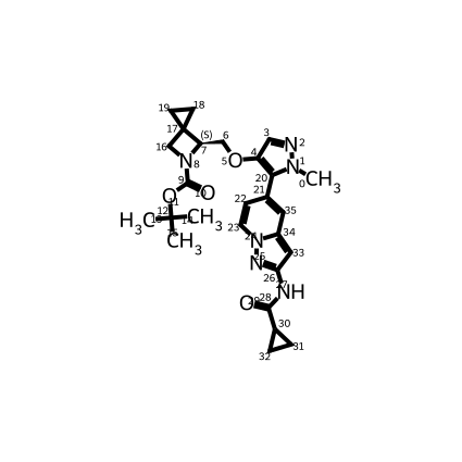 Cn1ncc(OC[C@H]2N(C(=O)OC(C)(C)C)CC23CC3)c1-c1ccn2nc(NC(=O)C3CC3)cc2c1